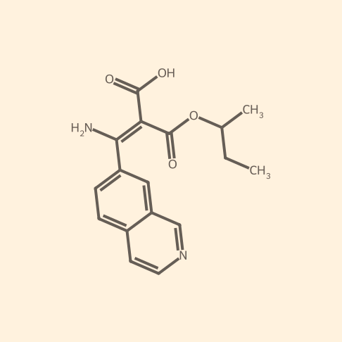 CCC(C)OC(=O)C(C(=O)O)=C(N)c1ccc2ccncc2c1